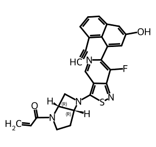 C#Cc1cccc2cc(O)cc(-c3ncc4c(N5C[C@@H]6[C@H]5CCN6C(=O)C=C)snc4c3F)c12